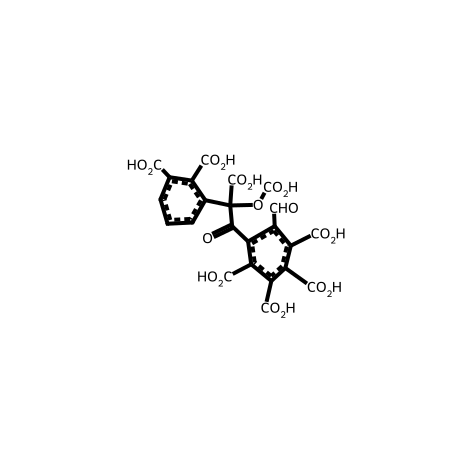 O=Cc1c(C(=O)O)c(C(=O)O)c(C(=O)O)c(C(=O)O)c1C(=O)C(OC(=O)O)(C(=O)O)c1cccc(C(=O)O)c1C(=O)O